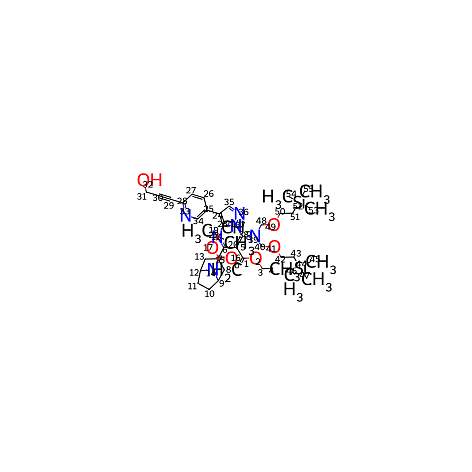 C=C(OCC)c1c(C2CC3CCC(C2)N3C(=O)OC(C)(C)C)nc2c(-c3ccc(C#CCO)nc3)cnn2c1N(COCC[Si](C)(C)C)COCC[Si](C)(C)C